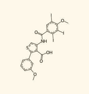 COc1cccc(-c2scc(NC(=O)c3cc(I)c(OC)c(I)c3I)c2C(=O)O)c1